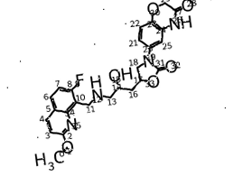 COc1ccc2ccc(F)c(CNC[C@@H](O)C[C@H]3CN(c4ccc5c(c4)NC(=O)CO5)C(=O)O3)c2n1